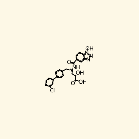 O=C(NN(Cc1ccc(-c2cccc(Cl)c2)cc1)CC(O)C(=O)O)c1ccc2c(c1)nnn2O